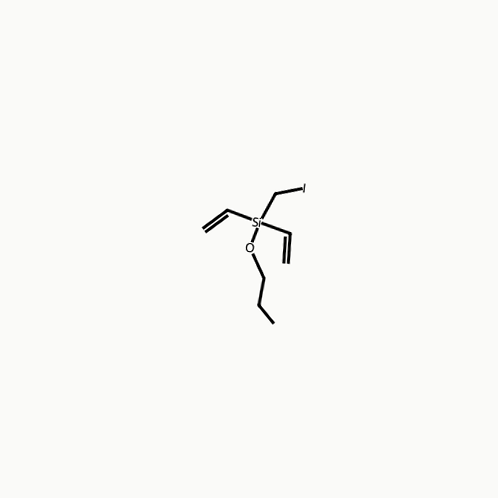 C=C[Si](C=C)(CI)OCCC